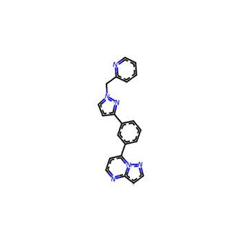 [c]1cnn2c(-c3cccc(-c4ccn(Cc5ccccn5)n4)c3)ccnc12